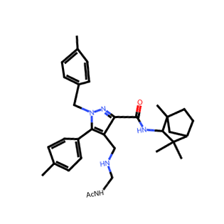 CC(=O)NCNCc1c(C(=O)NC2C3(C)CCC(C3)C2(C)C)nn(Cc2ccc(C)cc2)c1-c1ccc(C)cc1